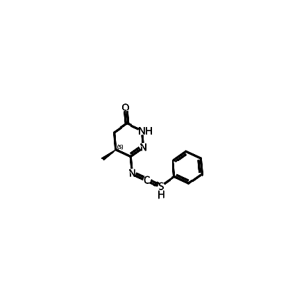 C[C@H]1CC(=O)NN=C1N=C=[SH]c1ccccc1